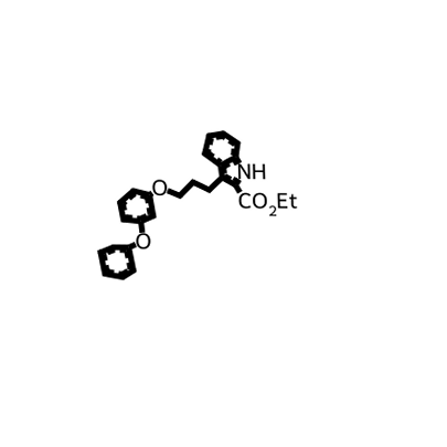 CCOC(=O)c1[nH]c2ccccc2c1CCCOc1cccc(Oc2ccccc2)c1